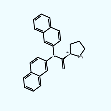 C=C([C@H]1CCCN1)N(c1ccc2ccccc2c1)c1ccc2ccccc2c1